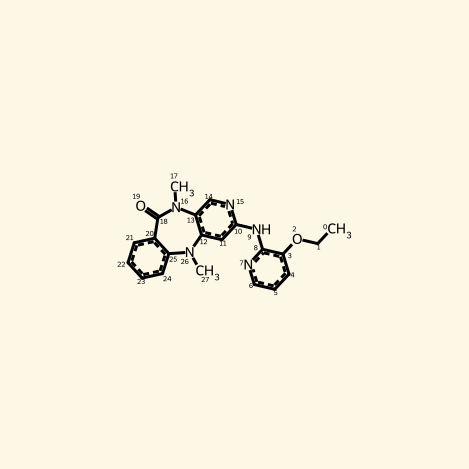 CCOc1cccnc1Nc1cc2c(cn1)N(C)C(=O)c1ccccc1N2C